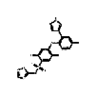 O=S(=O)(Nc1ncns1)c1cc(Cl)c(Oc2ccc(F)cc2-c2cn[nH]c2)cc1F